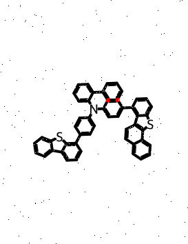 c1ccc(-c2ccccc2N(c2ccc(-c3cccc4c3sc3ccccc34)cc2)c2ccc(-c3cccc4sc5c6ccccc6ccc5c34)cc2)cc1